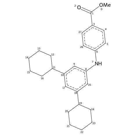 COC(=O)c1ccc(Nc2cc(C3CCCCC3)cc(C3CCCCC3)c2)cc1